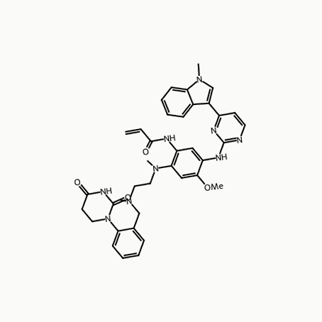 C=CC(=O)Nc1cc(Nc2nccc(-c3cn(C)c4ccccc34)n2)c(OC)cc1N(C)CCN(C)Cc1ccccc1N1CCC(=O)NC1=O